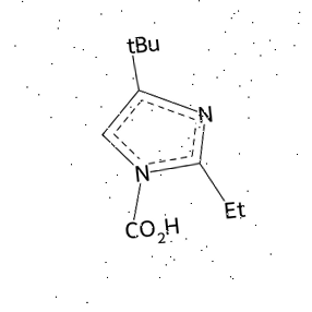 CCc1nc(C(C)(C)C)cn1C(=O)O